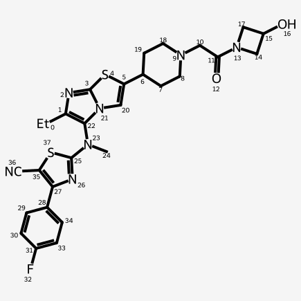 CCc1nc2sc(C3CCN(CC(=O)N4CC(O)C4)CC3)cn2c1N(C)c1nc(-c2ccc(F)cc2)c(C#N)s1